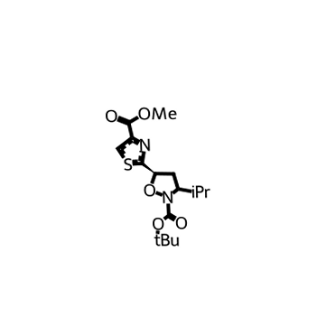 COC(=O)c1csc([C@H]2CC(C(C)C)N(C(=O)OC(C)(C)C)O2)n1